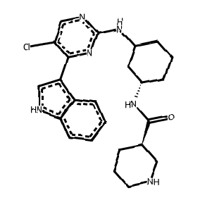 O=C(N[C@H]1CCCC(Nc2ncc(Cl)c(-c3c[nH]c4ccccc34)n2)C1)[C@@H]1CCCNC1